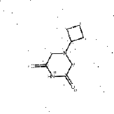 O=C1CN(C2CCC2)CC(=O)N1